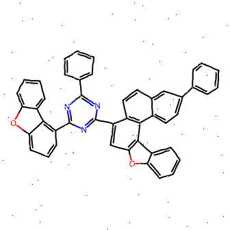 c1ccc(-c2ccc3c(ccc4c(-c5nc(-c6ccccc6)nc(-c6cccc7oc8ccccc8c67)n5)cc5oc6ccccc6c5c43)c2)cc1